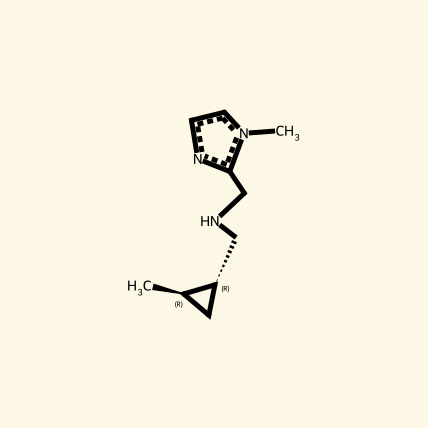 C[C@@H]1C[C@H]1CNCc1nccn1C